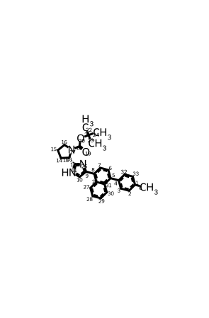 Cc1ccc(-c2ccc(-c3c[nH]c([C@@H]4CCCN4C(=O)OC(C)(C)C)n3)c3ccccc23)cc1